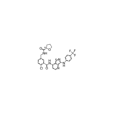 O=C(Nc1ccnc2c(Nc3ccc(C(F)(F)F)cc3)nsc12)c1cc(CNC(=O)[C@H]2CCCO2)ccc1Cl